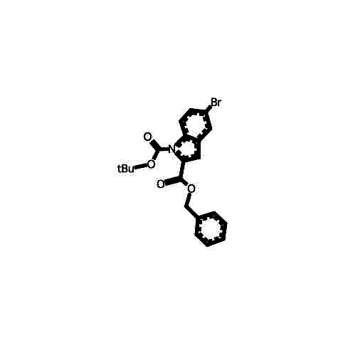 CC(C)(C)OC(=O)n1c(C(=O)OCc2ccccc2)cc2cc(Br)ccc21